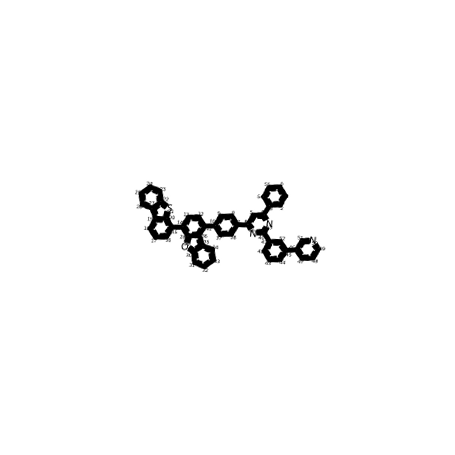 c1ccc(-c2cc(-c3ccc(-c4ccc(-c5cccc6c5sc5ccccc56)c5oc6ccccc6c45)cc3)nc(-c3cccc(-c4cccnc4)c3)n2)cc1